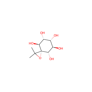 CC1(C)O[C@]12[C@@H](O)[C@H](O)[C@@H](O)[C@@H](O)[C@@H]2O